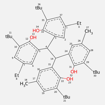 CCc1cc(C(c2cc(CC)cc(C(C)(C)C)c2O)C(c2cc(C)cc(C(C)(C)C)c2O)c2cc(C)cc(C(C)(C)C)c2O)c(O)c(C(C)(C)C)c1